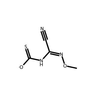 CON=C(C#N)NC([O])=S